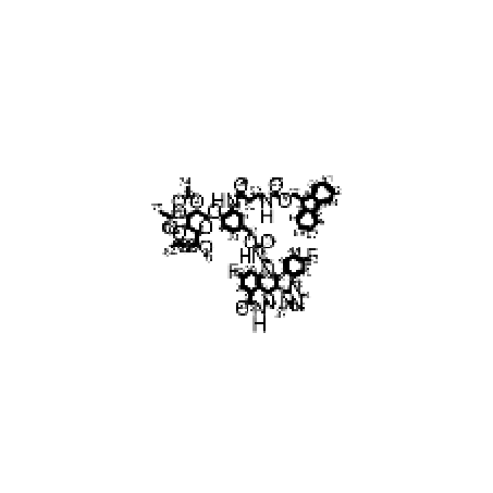 COC(=O)C1OC(Oc2ccc(COC(=O)NCN3c4cc(F)cc5c(=O)[nH]nc(c45)[C@H](c4ncnn4C)[C@H]3c3ccc(F)cc3)cc2NC(=O)CCNC(=O)OCC2c3ccccc3-c3ccccc32)C(OC(C)=O)C(OC(C)=O)C1OC(C)=O